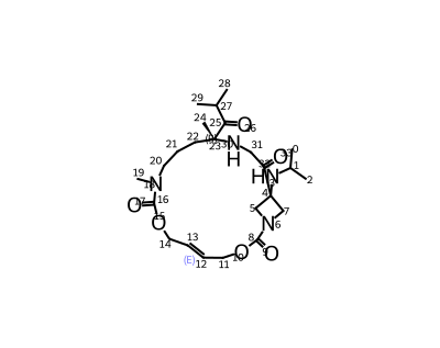 CC(C)NC12CN(C1)C(=O)OC/C=C/COC(=O)N(C)CCC[C@](C)(C(=O)C(C)C)NCC2=O